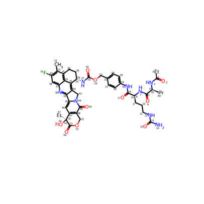 CCC(=O)N[C@H](C(=O)N[C@@H](CCCNC(N)=O)C(=O)Nc1ccc(COC(=O)N[C@H]2CCc3c(C)c(F)cc4nc5c(c2c34)Cn2c-5cc3c(c2=O)COC(=O)[C@]3(O)CC)cc1)C(C)C